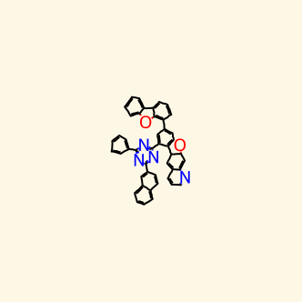 C1=c2cccnc2=CC2Oc3cc(-c4cccc5c4oc4ccccc45)cc(-c4nc(-c5ccccc5)nc(-c5ccc6ccccc6c5)n4)c3C12